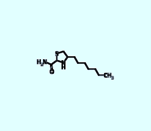 CCCCCCCC1CSC(C(N)=O)N1